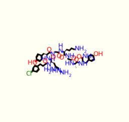 C[C@H](NC(=O)CNC(=O)[C@H](CCCCN)NC(=O)CNC(=O)[C@H](Cc1ccc(O)cc1)NC(=O)[C@@H](C/C(N)=C/NN)NC(=O)CCc1ccc(Cl)cc1)C(=O)N[C@H](Cc1ccc(O)cc1)C(N)=O